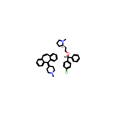 CN1CCC(=C2c3ccccc3C=Cc3ccccc32)CC1.CN1CCC[C@@H]1CCO[C@](C)(c1ccccc1)c1ccc(Cl)cc1